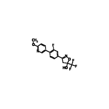 COc1ccc(-c2ccc(C3=NOC(O)(C(F)(F)F)C3)cc2F)cn1